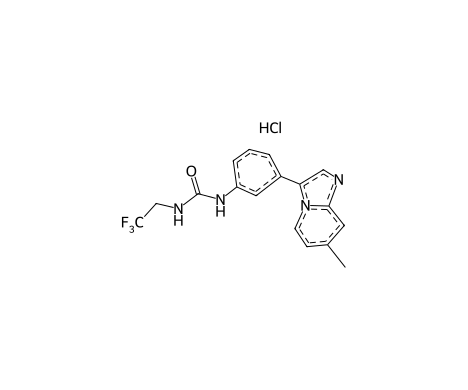 Cc1ccn2c(-c3cccc(NC(=O)NCC(F)(F)F)c3)cnc2c1.Cl